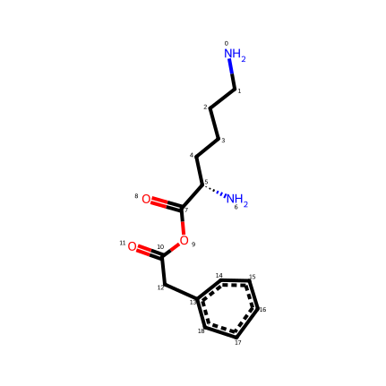 NCCCC[C@H](N)C(=O)OC(=O)Cc1ccccc1